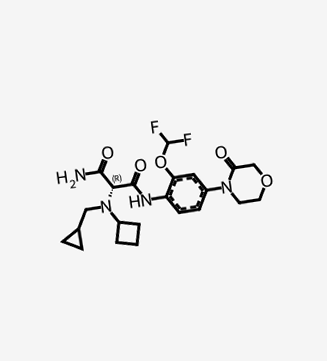 NC(=O)[C@H](C(=O)Nc1ccc(N2CCOCC2=O)cc1OC(F)F)N(CC1CC1)C1CCC1